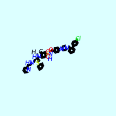 Cc1cc(S(=O)(=O)NC(=O)c2ccc(N3CCN(Cc4ccccc4-c4ccc(Cl)cc4)CC3)cc2)ccc1N[C@H](CCNCCc1ccccn1)CSc1ccccc1